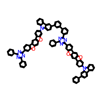 C1=CC(c2nc(-c3cccc(-c4cccc(-c5ccc6c(c5)c5ccccc5n6-c5ccc6c(c5)oc5cc7oc8cc(-c9nc(-c%10ccccc%10)nc(-c%10ccccc%10)n9)ccc8c7cc56)c4)c3)nc(-c3ccc4c(c3)oc3cc5c6c(oc5cc34)=CC(n3c4ccccc4c4ccc(-c5ccccc5)cc43)CC=6)n2)=CCC1